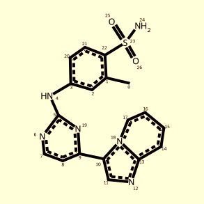 Cc1cc(Nc2nccc(-c3cnc4ccccn34)n2)ccc1S(N)(=O)=O